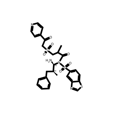 CC(CS(=O)(=O)CC(=O)c1ccncc1)C(=O)N([C@H](N)[C@@H](C)Cc1ccccc1)S(=O)(=O)c1ccc2scnc2c1